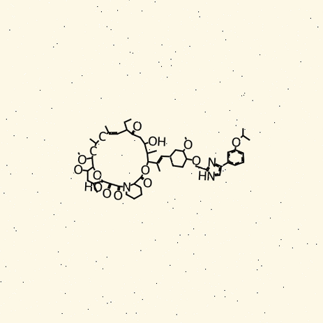 CCC1/C=C(\C)CC(C)CC(OC)C2OC(O)(C(=O)C(=O)N3CCCCC3C(=O)OC(C(C)=CC3CCC(OCc4nc(-c5cccc(OC(C)C)c5)c[nH]4)C(OC)C3)C(C)C(O)CC1=O)C(C)CC2OC